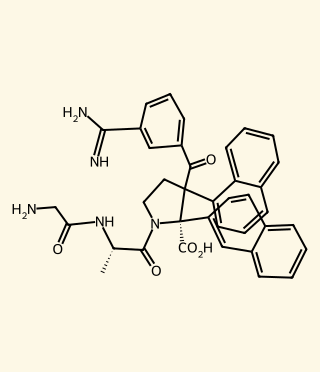 C[C@H](NC(=O)CN)C(=O)N1CCC(C(=O)c2cccc(C(=N)N)c2)(c2cccc3ccccc23)[C@@]1(C(=O)O)c1ccc2ccccc2c1